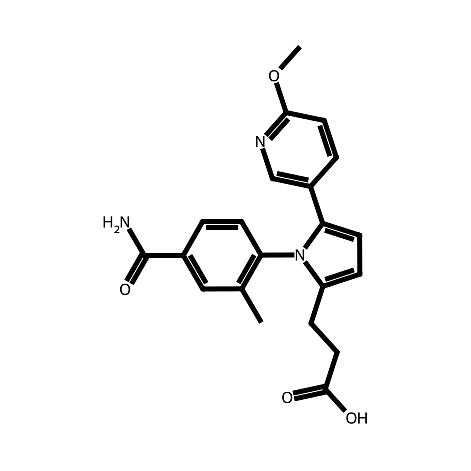 COc1ccc(-c2ccc(CCC(=O)O)n2-c2ccc(C(N)=O)cc2C)cn1